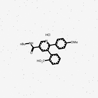 CCCCNC(=O)c1cnc(-c2ccc(OC)cc2)c(-c2ccccc2C(=O)O)c1.Cl